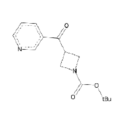 CC(C)(C)OC(=O)N1CC(C(=O)c2cccnc2)C1